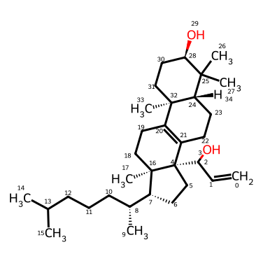 C=CC(O)[C@]12CC[C@H]([C@H](C)CCCC(C)C)[C@@]1(C)CCC1=C2CC[C@H]2C(C)(C)[C@H](O)CC[C@]12C